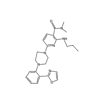 CCCNc1nc(N2CCN(c3ccccc3-c3ncco3)CC2)ccc1C(=O)N(C)C